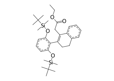 CCOC(=O)CC1=C(c2c(O[Si](C)(C)C(C)(C)C)cccc2O[Si](C)(C)C(C)(C)C)CCc2ccccc21